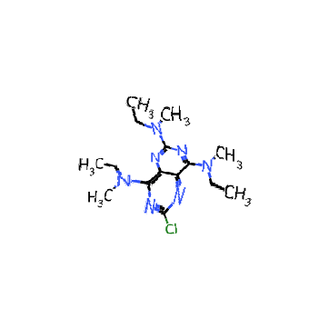 CCN(C)c1nc(N(C)CC)c2nc(Cl)nc(N(C)CC)c2n1